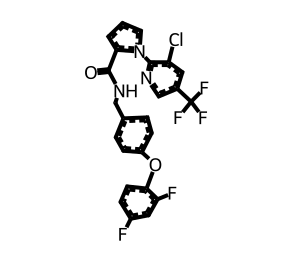 O=C(NCc1ccc(Oc2ccc(F)cc2F)cc1)c1cccn1-c1ncc(C(F)(F)F)cc1Cl